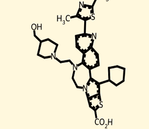 Cc1nc(C)c(-c2ccc3c4c(ccc3n2)-c2c(C3CCCCC3)c3sc(C(=O)O)cc3n2CCN4CCN2CCC(CO)CC2)s1